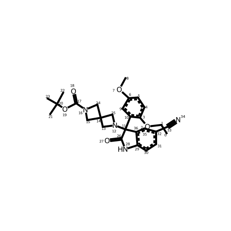 CCOc1ccc(OC)cc1C1(N2CC3(CN(C(=O)OC(C)(C)C)C3)C2)C(=O)Nc2ccc(C#N)cc21